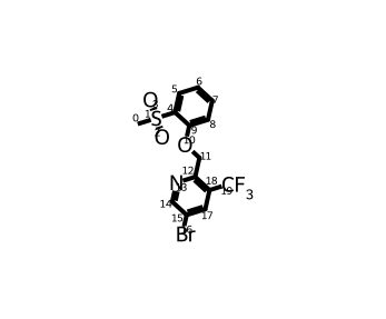 CS(=O)(=O)c1ccccc1OCc1ncc(Br)cc1C(F)(F)F